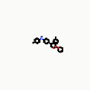 CC1=CC2c3c(-c4ccccc4)ccc(-c4ccc(N(C)c5ccc(C)cc5)cc4)c3C1CC2C(C)C